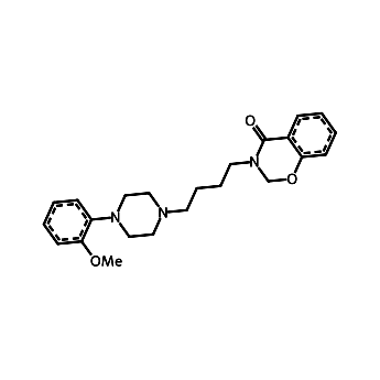 COc1ccccc1N1CCN(CCCCN2COc3ccccc3C2=O)CC1